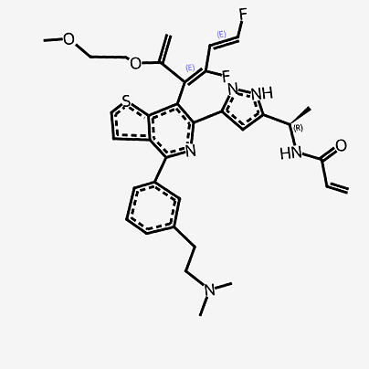 C=CC(=O)N[C@H](C)c1cc(-c2nc(-c3cccc(CCN(C)C)c3)c3ccsc3c2/C(C(=C)OCCOC)=C(F)/C=C/F)n[nH]1